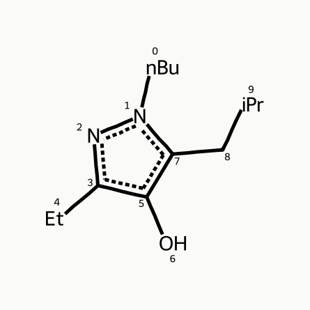 CCCCn1nc(CC)c(O)c1CC(C)C